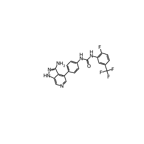 Nc1n[nH]c2cncc(-c3ccc(NC(=O)Nc4cc(C(F)(F)F)ccc4F)cc3)c12